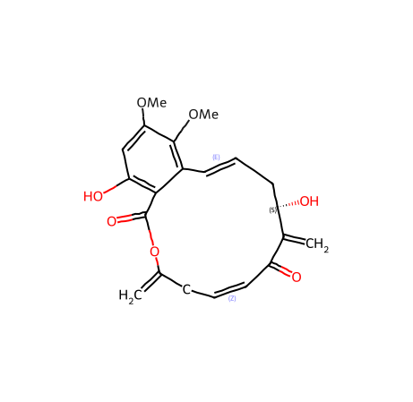 C=C1C/C=C\C(=O)C(=C)[C@@H](O)C/C=C/c2c(OC)c(OC)cc(O)c2C(=O)O1